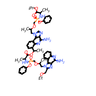 CCOCc1nc2c(N)nc3ccccc3c2n1CC(C)OCP(=O)(NC(C)C(=O)OC(C)c1cccc2c1nc(N)c1ncn(CC(C)OCP(=O)(NC(C)C(=O)OC(C)C)Oc3ccccc3)c12)Oc1ccccc1